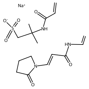 C=CC(=O)NC(C)(C)CS(=O)(=O)[O-].C=CNC(=O)C=CN1CCCC1=O.[Na+]